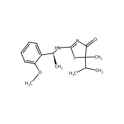 COc1ccccc1[C@H](C)NC1=NC(=O)C(C)(C(C)C)S1